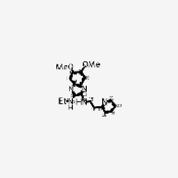 CCNc1nc2cc(OC)c(OC)cc2nc1NCCc1ccccn1